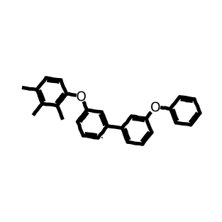 Cc1ccc(Oc2cc[c]c(-c3cccc(Oc4ccccc4)c3)c2)c(C)c1C